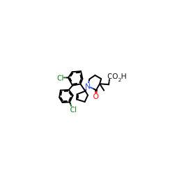 CC1(CC(=O)O)CCCN(C2(c3cccc(Cl)c3-c3cccc(Cl)c3)C=CCC2)C1=O